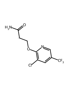 NC(=O)[CH]COc1ncc(C(F)(F)F)cc1Cl